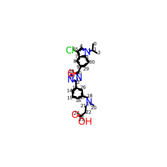 CC(C)n1cc(Cl)c2cc(-c3nc(-c4cccc(CN(C)CCC(=O)O)c4)no3)ccc21